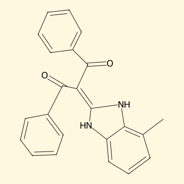 Cc1cccc2c1NC(=C(C(=O)c1ccccc1)C(=O)c1ccccc1)N2